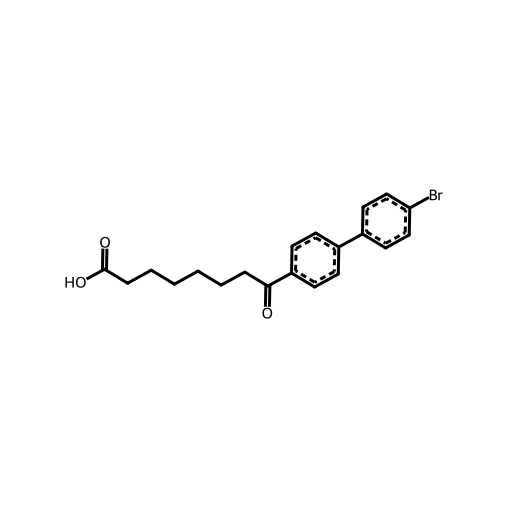 O=C(O)CCCCCCC(=O)c1ccc(-c2ccc(Br)cc2)cc1